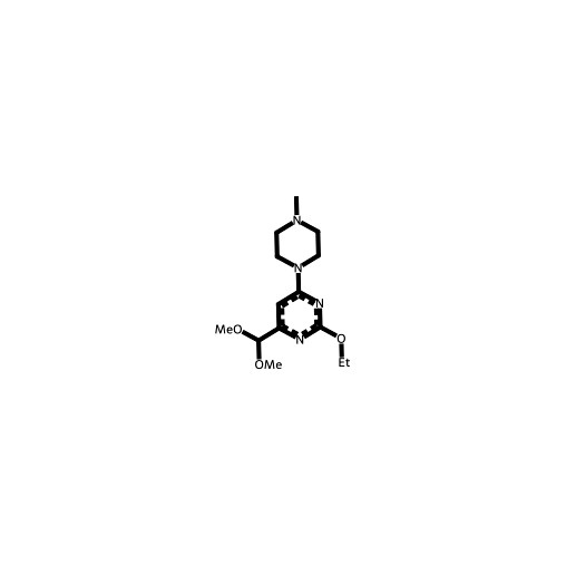 CCOc1nc(C(OC)OC)cc(N2CCN(C)CC2)n1